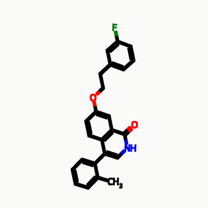 Cc1ccccc1-c1c[nH]c(=O)c2cc(OCCc3cccc(F)c3)ccc12